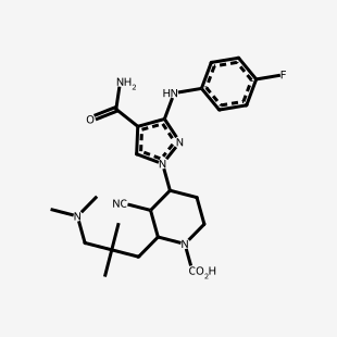 CN(C)CC(C)(C)CC1C(C#N)C(n2cc(C(N)=O)c(Nc3ccc(F)cc3)n2)CCN1C(=O)O